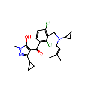 CC(C)=CCN(Cc1c(Cl)ccc(C(=O)c2c(C3CC3)nn(C)c2O)c1Cl)C1CC1